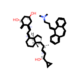 C=C1/C(=C\C=C2\CCC[C@]3(C)[C@@H]2CC[C@@H]3[C@H](C)/C=C/[C@@H](O)C2CC2)C[C@H](O)C[C@H]1O.CN(C)CCC=C1c2ccccc2C=Cc2ccccc21